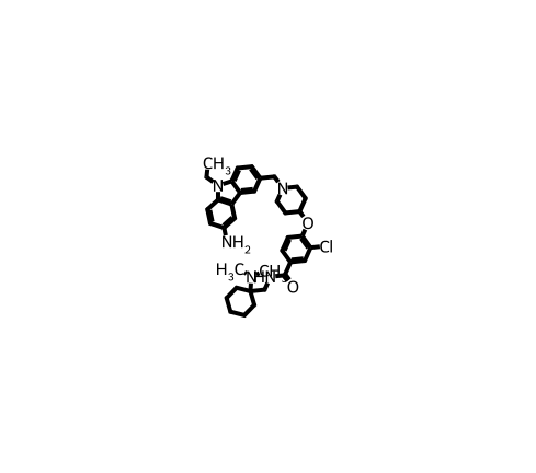 CCn1c2ccc(N)cc2c2cc(CN3CCC(Oc4ccc(C(=O)NCC5(N(C)C)CCCCC5)cc4Cl)CC3)ccc21